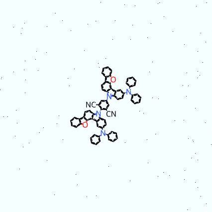 N#Cc1cc(-n2c3ccc(N(c4ccccc4)c4ccccc4)cc3c3c4oc5ccccc5c4ccc32)cc(C#N)c1-n1c2ccc(N(c3ccccc3)c3ccccc3)cc2c2c3oc4ccccc4c3ccc21